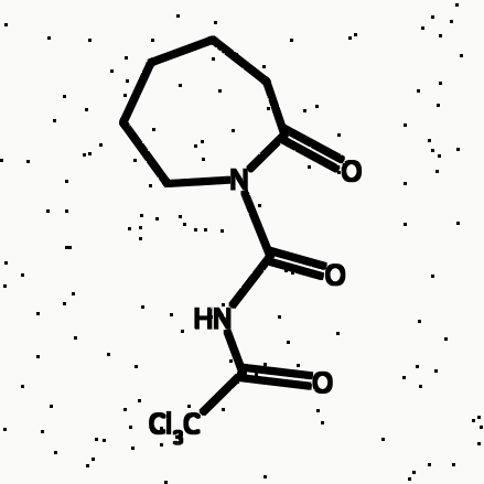 O=C1CCCCCN1C(=O)NC(=O)C(Cl)(Cl)Cl